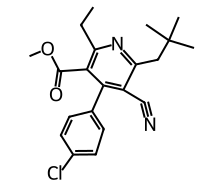 CCc1nc(CC(C)(C)C)c(C#N)c(-c2ccc(Cl)cc2)c1C(=O)OC